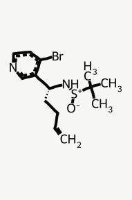 C=CCC[C@@H](N[S+]([O-])C(C)(C)C)c1cnccc1Br